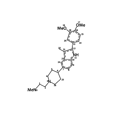 CNCCN1CCC(c2ccc3[nH]c(-c4ccc(OC)c(OC)c4)c(C)c3c2)CC1